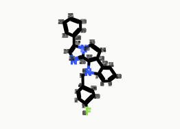 Fc1ccc(Cn2c3ccccc3c3ccn4c(-c5ccccc5)cnc4c32)cc1